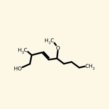 CCCCC(C=CC(C)CO)OC